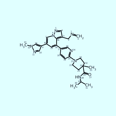 C=NCc1cnn2cc(-c3cnn(C)c3)cc(-c3ccc(N4CCC(C)(C(=O)NC(C)C)CC4)nc3)c12